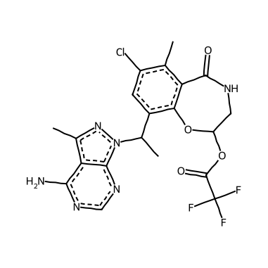 Cc1c(Cl)cc(C(C)n2nc(C)c3c(N)ncnc32)c2c1C(=O)NCC(OC(=O)C(F)(F)F)O2